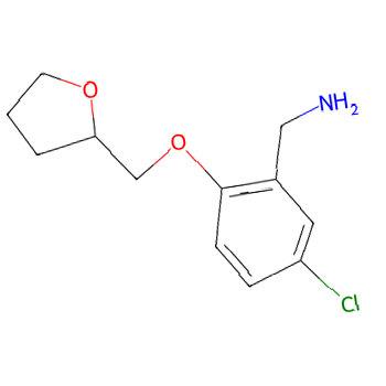 NCc1cc(Cl)ccc1OCC1CCCO1